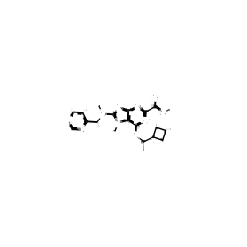 C[C@@H](Nc1nc(/C(N)=N/O)nc2nc(N(C)Cc3ccncn3)n(C)c12)C1CCC1